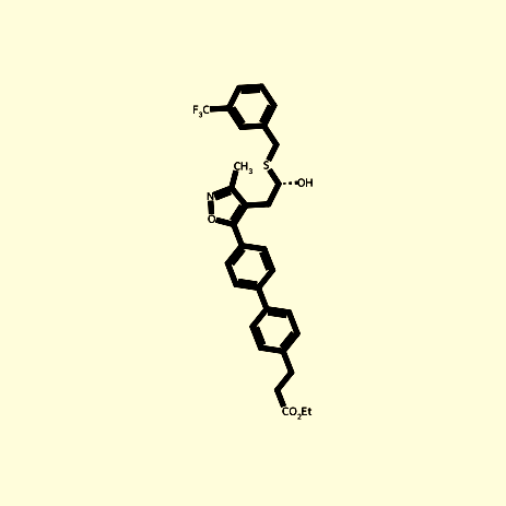 CCOC(=O)CCc1ccc(-c2ccc(-c3onc(C)c3C[C@@H](O)SCc3cccc(C(F)(F)F)c3)cc2)cc1